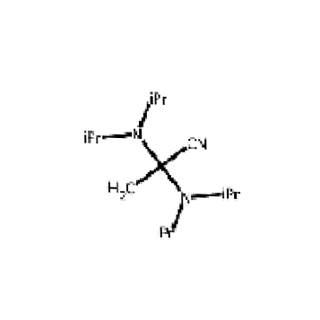 [CH2]C(C#N)(N(C(C)C)C(C)C)N(C(C)C)C(C)C